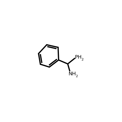 NC(P)c1ccccc1